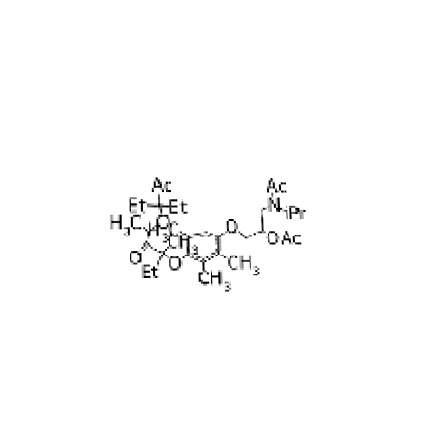 CCC(C)(Oc1c(C)cc(OCC(CN(C(C)=O)C(C)C)OC(C)=O)c(C)c1C)C(=O)C(C)OC(CC)(CC)C(C)=O